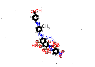 Cc1cc(/N=N/c2cc(S(=O)(=O)O)c3cc(S(=O)(=O)O)c(/N=N/c4ccc([N+](=O)[O-])cc4S(=O)(=O)O)c(O)c3c2N)ccc1/N=N/c1ccc(C(=O)O)cc1